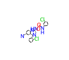 N#Cc1ccc2c(c1)C(c1ccccc1Cl)=NCC(NOC(=O)Nc1cccc(Cl)c1)=N2